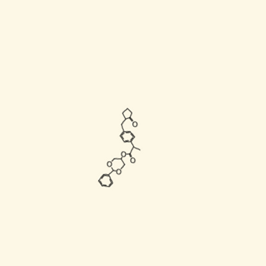 CC(C(=O)OC1COC(c2ccccc2)OC1)c1ccc(CC2CCCC2=O)cc1